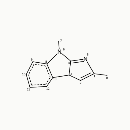 CC1=CC2C(=N1)N(C)c1ccccc12